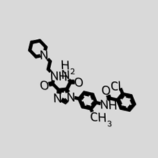 Cc1cc(-n2cnc(C(=O)NCCN3CCCCC3)c2C(N)=O)ccc1NC(=O)c1ccccc1Cl